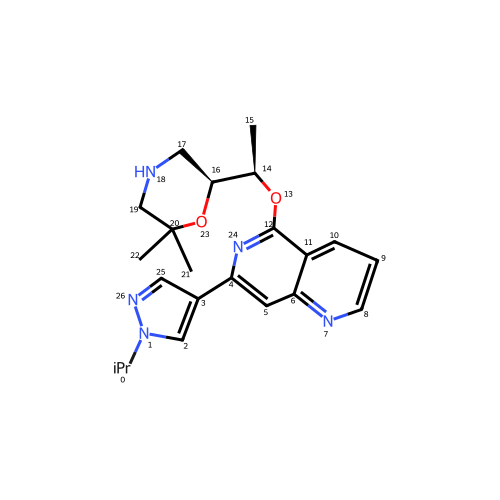 CC(C)n1cc(-c2cc3ncccc3c(O[C@H](C)[C@@H]3CNCC(C)(C)O3)n2)cn1